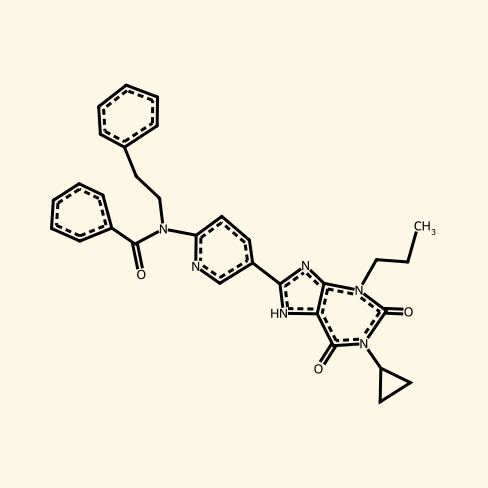 CCCn1c(=O)n(C2CC2)c(=O)c2[nH]c(-c3ccc(N(CCc4ccccc4)C(=O)c4ccccc4)nc3)nc21